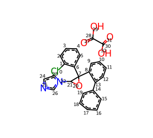 Clc1ccccc1C1(c2ccccc2-c2ccccc2)OC1n1ccnc1.O=C(O)C(=O)O